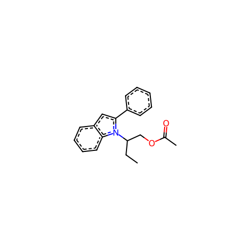 CCC(COC(C)=O)n1c(-c2ccccc2)cc2ccccc21